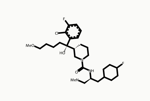 CNC[C@H](CC1CCC(F)CC1)NC(=O)N1CCC[C@@H]([C@@](O)(CCCCOC)c2cccc(F)c2Cl)C1